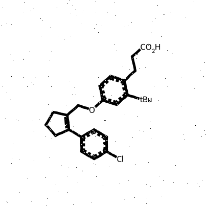 CC(C)(C)c1cc(OCC2=C(c3ccc(Cl)cc3)CCC2)ccc1CCC(=O)O